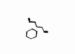 C1CCCCC1.O=CCCCC=O